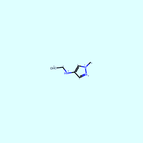 Cn1cc(NCC=O)cn1